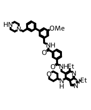 CCc1nc2c(cnn2CC)c(NC2CCOCC2)c1CNC(=O)c1cccc(C(=O)NCc2cc(OC)cc(-c3cccc(CN4CCNCC4)c3)c2)c1